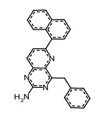 Nc1nc(Cc2ccccc2)c2nc(-c3cccc4ccccc34)ccc2n1